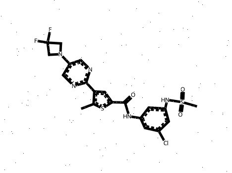 Cc1sc(C(=O)Nc2cc(Cl)cc(NS(C)(=O)=O)c2)cc1-c1ncc(N2CC(F)(F)C2)cn1